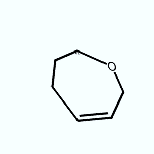 [C]1CCC=CCO1